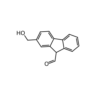 O=CC1c2ccccc2-c2ccc(CO)cc21